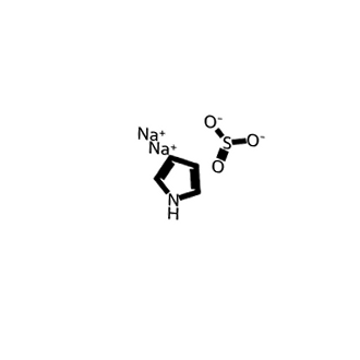 O=S([O-])[O-].[Na+].[Na+].c1cc[nH]c1